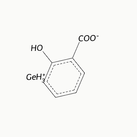 O=C([O-])c1ccccc1O.[GeH3+]